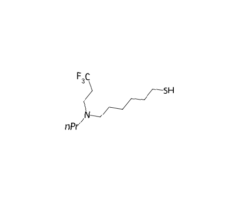 CCCN(CCCCCCS)CCC(F)(F)F